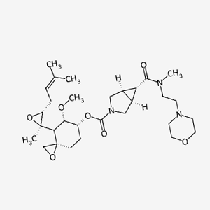 CO[C@H]1C([C@@]2(C)O[C@@H]2CC=C(C)C)[C@]2(CC[C@H]1OC(=O)N1C[C@@H]3[C@H](C1)[C@H]3C(=O)N(C)CCN1CCOCC1)CO2